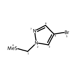 CSCn1cc(Br)cn1